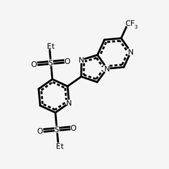 CCS(=O)(=O)c1ccc(S(=O)(=O)CC)c(-c2cn3cnc(C(F)(F)F)cc3n2)n1